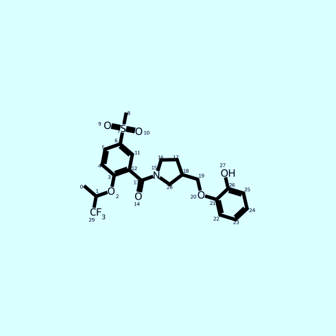 CC(Oc1ccc(S(C)(=O)=O)cc1C(=O)N1CCC(COc2ccccc2O)C1)C(F)(F)F